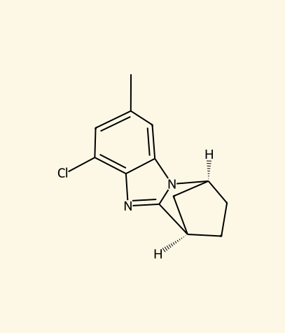 Cc1cc(Cl)c2nc3n(c2c1)[C@H]1CC[C@@H]3C1